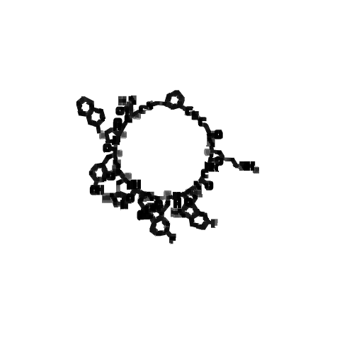 NCCCC[C@@H]1NC(=O)CCSCc2cccc(c2)CSC[C@@H](C(N)=O)NC(=O)[C@@H]2C[C@@H](Cc3ccc4ccccc4c3)CN2C(=O)[C@H](Cc2ccc(O)cc2)NC(=O)[C@H](Cc2cnc[nH]2)NC(=O)[C@H](CC(=O)O)NC(=O)[C@H](Cc2c[nH]c3ccc(F)cc23)NC(=O)[C@H](Cc2c[nH]c3ccc(F)cc23)NC(=O)CNC1=O